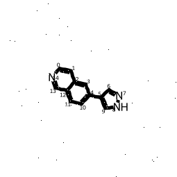 c1cc2cc(-c3cn[nH]c3)ccc2cn1